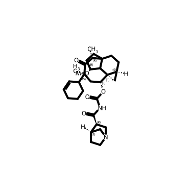 CO[C@@H]1CCC23CC[C@H]4C[C@@]4(C12)[C@H](OC(=O)NC(=O)[C@H]1CN2CC[C@@H]1C2)C[C@@](C)(C1C=CCCC1)C(=O)[C@@H]3C